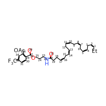 CC/C=C\C/C=C\C/C=C\C/C=C\C/C=C\C/C=C\CCC(=O)NCCCOC(=O)c1ccc(C(F)(F)F)cc1OC(C)=O